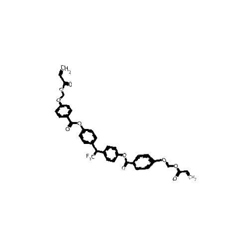 C=CC(=O)OCOc1ccc(C(=O)Oc2ccc(C(c3ccc(OC(=O)c4ccc(OCOC(=O)C=C)cc4)cc3)C(F)(F)F)cc2)cc1